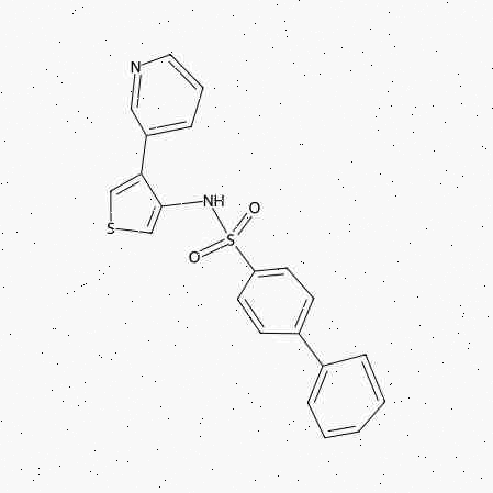 O=S(=O)(Nc1cscc1-c1cccnc1)c1ccc(-c2ccccc2)cc1